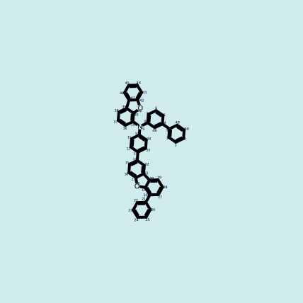 c1ccc(-c2cccc(N(c3ccc(-c4ccc5oc6c(-c7ccccc7)cccc6c5c4)cc3)c3cccc4c3oc3ccccc34)c2)cc1